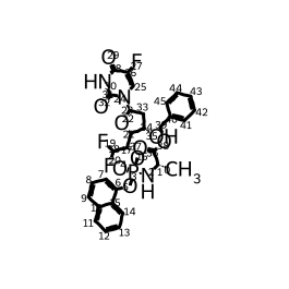 C[C@H](N[P@@](=O)(Oc1cccc2ccccc12)O[C@H](C(F)F)[C@H]1O[C@@H](n2cc(F)c(=O)[nH]c2=O)C[C@@H]1O)C(=O)OCc1ccccc1